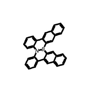 c1ccc2c(c1)-c1cc3ccccc3cc1B1c3cc4ccccc4cc3-c3ccccc3N12